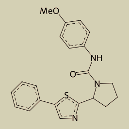 COc1ccc(NC(=O)N2CCCC2c2ncc(-c3ccccc3)s2)cc1